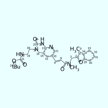 Cc1c(CN(C)C(=O)/C=C/c2cnc3c(c2)CN(CCNC(=O)OC(C)(C)C)C(=O)N3)oc2ccccc12